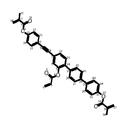 C=CC(=O)Oc1cc(C#Cc2ccc(OC(=O)C(=C)C)cc2)ccc1-c1ccc(-c2ccc(OC(=O)C(=C)C)cc2)cc1